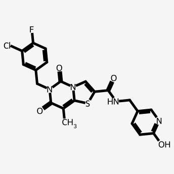 Cc1c(=O)n(Cc2ccc(F)c(Cl)c2)c(=O)n2cc(C(=O)NCc3ccc(O)nc3)sc12